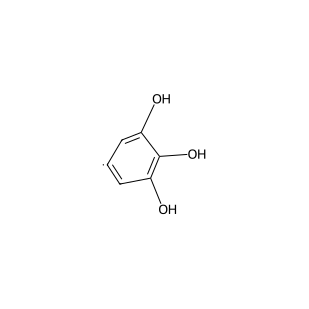 Oc1c[c]cc(O)c1O